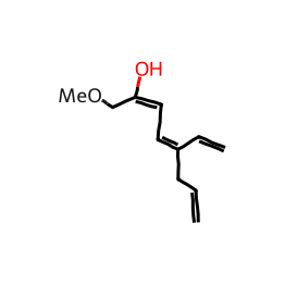 C=CC/C(C=C)=C/C=C(/O)COC